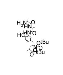 CC(N)C(=O)NC(C)C(=O)Nc1cc(CC(CC(C)C(=O)OC(C)(C)C)NC(=O)OC(C)(C)C)ccc1O